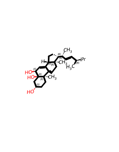 CC(C)[C@@H](C)C=C[C@@H](C)[C@H]1CC[C@H]2C3=C[C@H](O)[C@@]4(O)C[C@@H](O)CC[C@]4(C)C3=CC[C@]12C